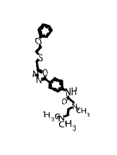 CN(C)CCN(C)CC(=O)Nc1ccc(-c2nnc(CSCCOc3ccccc3)o2)cc1